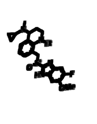 CCN1CCC(N(C)C2CC2)c2cccc(C[S+]([O-])c3nc4cc(F)c(OC)cc4[nH]3)c21